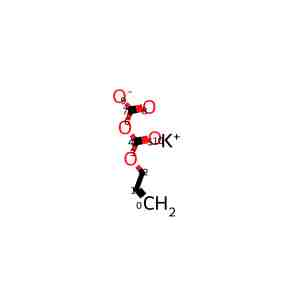 C=CCOC(=O)OC(=O)[O-].[K+]